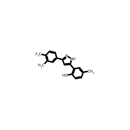 Cc1ccc(O)c(-c2cc(-c3ccc(C(F)(F)F)c(C)c3)n[nH]2)c1